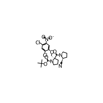 CC(C)(C)OC(=O)N1CCC[C@]1(COc1cc([N+](=O)[O-])c(Cl)cc1Cl)C(=O)N1CCC[C@H]1C#N